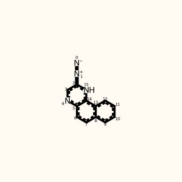 [N-]=[N+]=c1cnc2ccc3ccccc3c2[nH]1